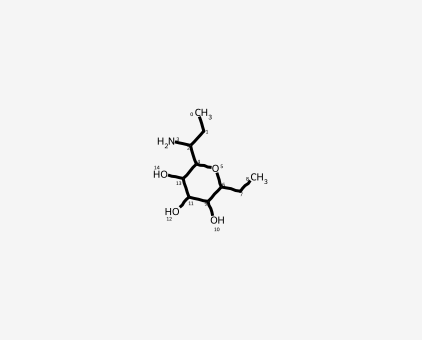 CCC(N)C1OC(CC)C(O)C(O)C1O